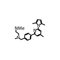 CNCCN(C)Cc1ccc(-c2cc(C)cc(-n3c(C)ccc3C)n2)cc1